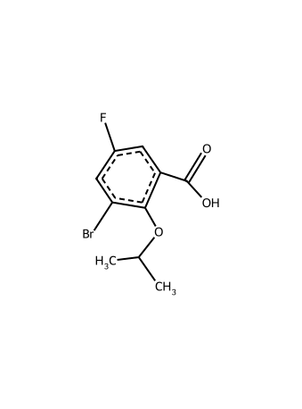 CC(C)Oc1c(Br)cc(F)cc1C(=O)O